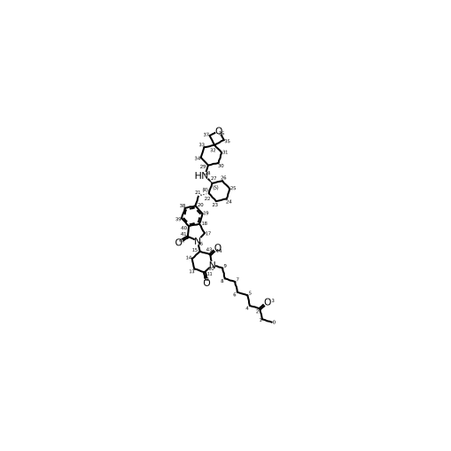 CCC(=O)CCCCCCN1C(=O)CCC(N2Cc3cc(C[C@H]4CCCC[C@@H]4NC4CCC5(CC4)COC5)ccc3C2=O)C1=O